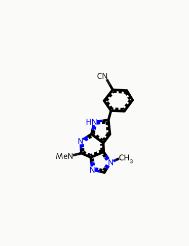 [C-]#[N+]c1cccc(-c2cc3c(nc(NC)c4ncn(C)c43)[nH]2)c1